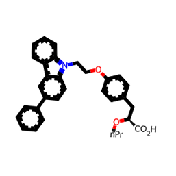 CCCO[C@@H](Cc1ccc(OCCn2c3ccccc3c3cc(-c4ccccc4)ccc32)cc1)C(=O)O